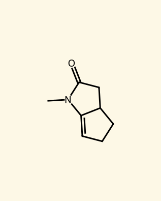 CN1C(=O)CC2CCC=C21